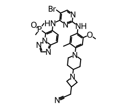 COc1cc(N2CCC(N3CC(CC#N)C3)CC2)c(C)cc1Nc1ncc(Br)c(Nc2ccc3ncnn3c2P(C)(C)=O)n1